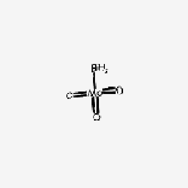 [O]=[Mo](=[O])(=[O])[BiH2]